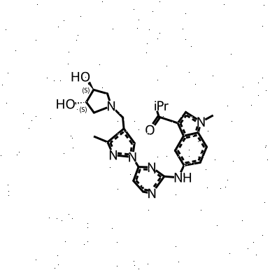 Cc1nn(-c2ccnc(Nc3ccc4c(c3)c(C(=O)C(C)C)cn4C)n2)cc1CN1C[C@H](O)[C@@H](O)C1